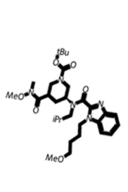 COCCCCn1c(C(=O)N(CC(C)C)[C@H]2CC(C(=O)N(C)OC)CN(C(=O)OC(C)(C)C)C2)nc2ccccc21